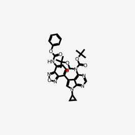 CC(C)(C)OC(=O)N(C(=O)OC(C)(C)C)c1ncnc2c1c(-c1ccc(NC(=O)Oc3ccccc3)c3nonc13)cn2C1CC1